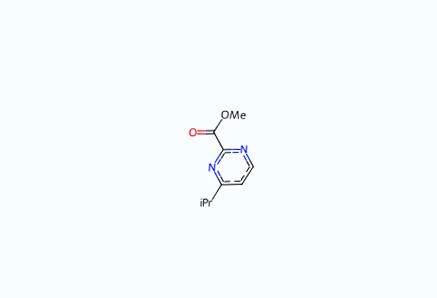 COC(=O)c1nccc(C(C)C)n1